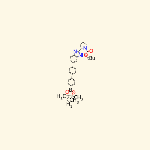 CC(C)(C)OC(=O)N1CCCC1c1nc2ccc(-c3ccc(-c4ccc(B5OC(C)(C)C(C)(C)O5)cc4)cc3)cc2[nH]1